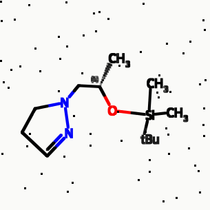 C[C@@H](CN1CCC=N1)O[Si](C)(C)C(C)(C)C